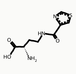 N[C@@H](CCNC(=O)c1cscn1)C(=O)O